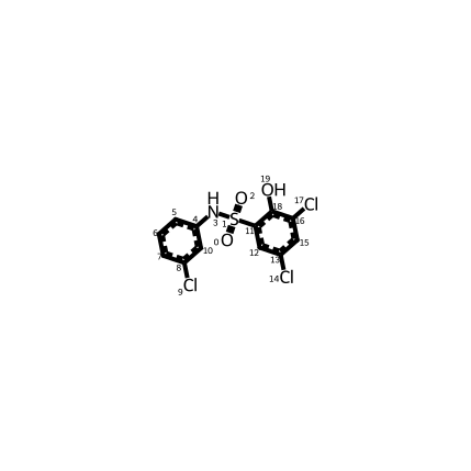 O=S(=O)(Nc1cccc(Cl)c1)c1cc(Cl)cc(Cl)c1O